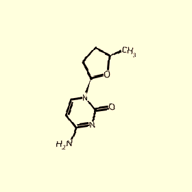 C[C@@H]1CC[C@H](n2ccc(N)nc2=O)O1